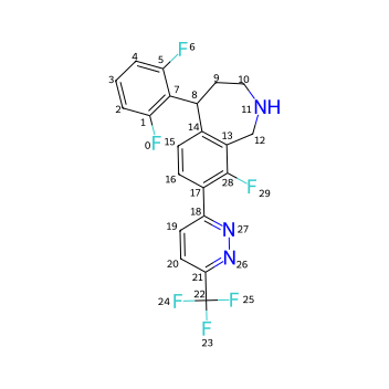 Fc1cccc(F)c1C1CCNCc2c1ccc(-c1ccc(C(F)(F)F)nn1)c2F